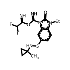 CCn1c(=O)n(C(=N)OC(=N)C(F)F)c2cc(SNC3(C)CC3)ccc21